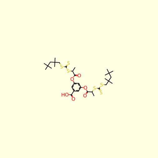 CC(SC(=S)SCC(C)(C)CC(C)(C)C)C(=O)Oc1cc(OC(=O)C(C)SC(=S)SCC(C)(C)CC(C)(C)C)cc(C(=O)O)c1